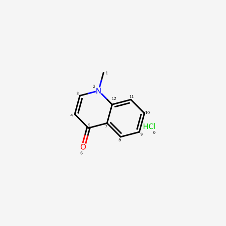 Cl.Cn1ccc(=O)c2ccccc21